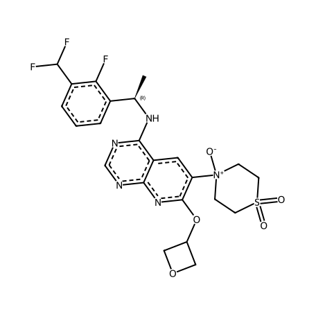 C[C@@H](Nc1ncnc2nc(OC3COC3)c([N+]3([O-])CCS(=O)(=O)CC3)cc12)c1cccc(C(F)F)c1F